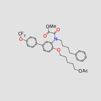 COC(=O)C(=O)N(CCCCc1ccccc1)c1cc(-c2ccc(OC(F)(F)F)cc2)ccc1OCCCCCOC(C)=O